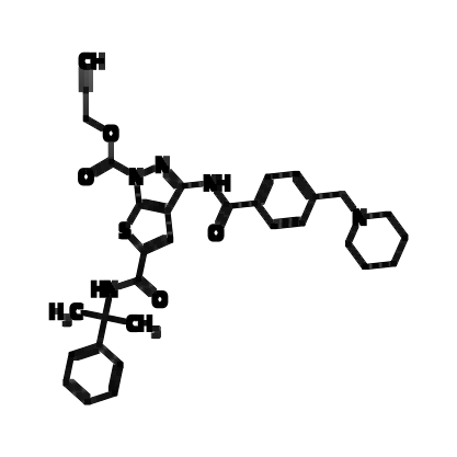 C#CCOC(=O)n1nc(NC(=O)c2ccc(CN3CCCCC3)cc2)c2cc(C(=O)NC(C)(C)c3ccccc3)sc21